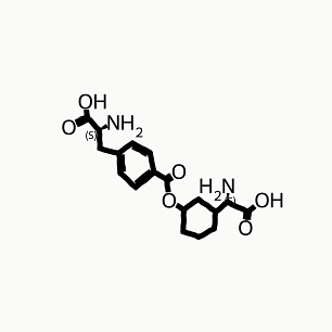 N[C@H](C(=O)O)C1CCCC(OC(=O)c2ccc(C[C@H](N)C(=O)O)cc2)C1